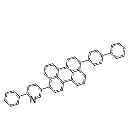 c1ccc(-c2ccc(-c3ccc4c5cccc6c(-c7ccc(-c8ccccc8)nc7)ccc(c7cccc3c47)c65)cc2)cc1